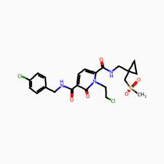 CS(=O)(=O)CC1(CNC(=O)c2ccc(C(=O)NCc3ccc(Cl)cc3)c(=O)n2CCCl)CC1